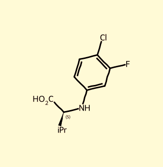 CC(C)[C@H](Nc1ccc(Cl)c(F)c1)C(=O)O